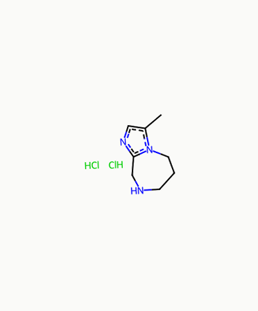 Cc1cnc2n1CCCNC2.Cl.Cl